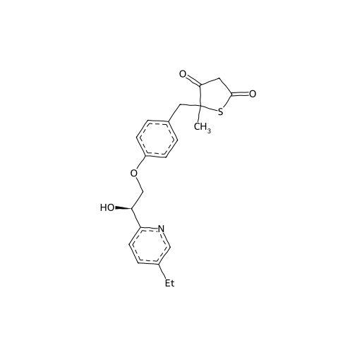 CCc1ccc([C@@H](O)COc2ccc(CC3(C)SC(=O)CC3=O)cc2)nc1